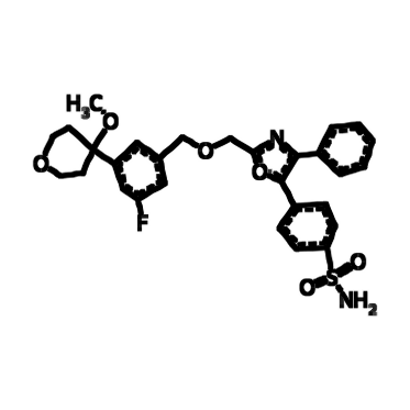 COC1(c2cc(F)cc(COCc3nc(-c4ccccc4)c(-c4ccc(S(N)(=O)=O)cc4)o3)c2)CCOCC1